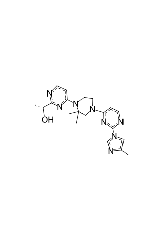 Cc1cn(-c2nccc(N3CCN(c4ccnc([C@@H](C)O)n4)C(C)(C)C3)n2)cn1